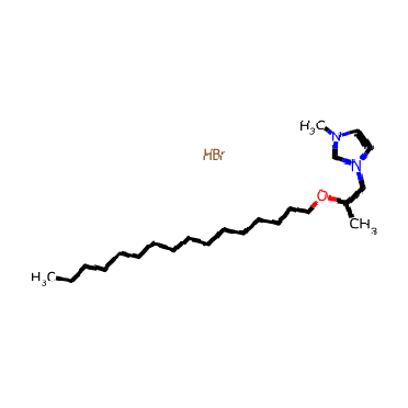 Br.CCCCCCCCCCCCCCCCOC(C)CN1C=CN(C)C1